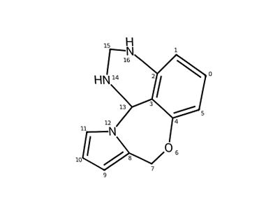 c1cc2c3c(c1)OCc1cccn1C3NCN2